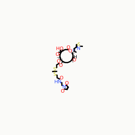 C/C(=C\c1csc(C)n1)[C@@H]1C[C@@H]2O[C@@]2(C)CCC[C@@H](C)[C@H](OC(=O)CCSC(C)(C)SCCC(=O)NCCN2C(=O)C=CC2=O)[C@H](C)C(=O)C(C)(C)[C@H](O)CC(=O)O1